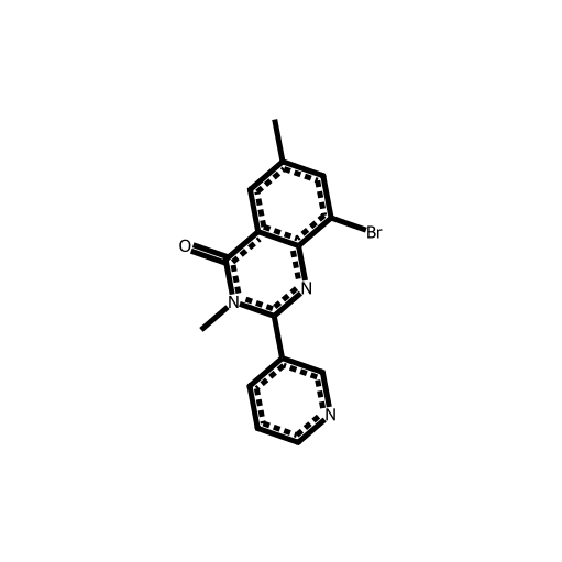 Cc1cc(Br)c2nc(-c3cccnc3)n(C)c(=O)c2c1